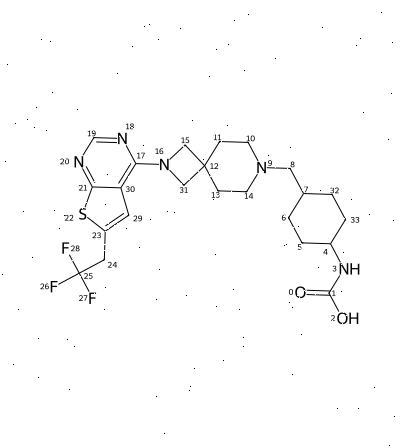 O=C(O)NC1CCC(CN2CCC3(CC2)CN(c2ncnc4sc(CC(F)(F)F)cc24)C3)CC1